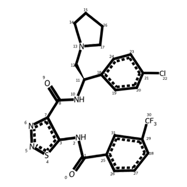 O=C(Nc1snnc1C(=O)N[C@@H](CN1CCCC1)c1ccc(Cl)cc1)c1cccc(C(F)(F)F)c1